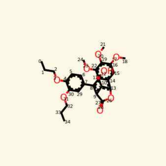 CCCOc1ccc(-c2c3c(CO)c(c4cc(OC)c(OC)c(OC)c24)OC3=O)cc1OCCC